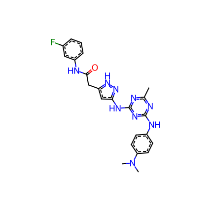 Cc1nc(Nc2ccc(N(C)C)cc2)nc(Nc2cc(CC(=O)Nc3cccc(F)c3)[nH]n2)n1